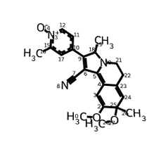 COC1=CC2=C3C(C#N)=C(c4cc[n+]([O-])c(C)c4)C(C)N3CCC2=CC1(C)OC